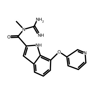 CN(C(=N)N)C(=O)c1cc2cccc(Oc3cccnc3)c2[nH]1